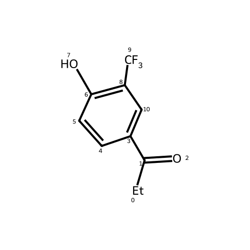 [CH2]CC(=O)c1ccc(O)c(C(F)(F)F)c1